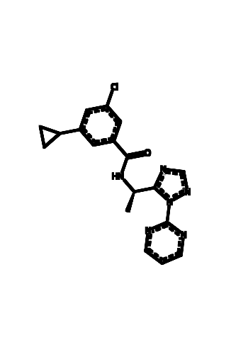 C[C@@H](NC(=O)c1cc(Cl)cc(C2CC2)c1)c1ncnn1-c1ncccn1